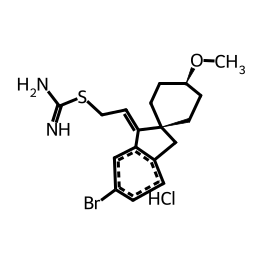 CO[C@H]1CC[C@@]2(CC1)Cc1ccc(Br)cc1C2=CCSC(=N)N.Cl